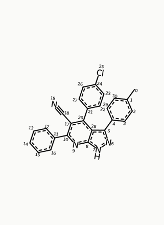 Cc1ccc(-c2n[nH]c3nc(-c4ccccc4)c(C#N)c(-c4ccc(Cl)cc4)c23)cc1